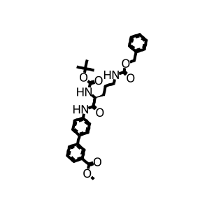 COC(=O)c1cccc(-c2ccc(NC(=O)[C@H](CCCNC(=O)OCc3ccccc3)NC(=O)OC(C)(C)C)cc2)c1